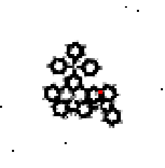 c1ccc(-c2cc([Si](c3ccccc3)(c3ccccc3)c3ccccc3)cc(-c3ccccc3)c2-n2c3ccccc3c3ccc(-n4c5ccccc5c5ccccc54)cc32)cc1